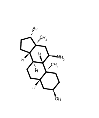 CC(=O)[C@H]1CC[C@H]2[C@@H]3CC[C@H]4C[C@H](O)CC[C@]4(C)[C@H]3[C@H](N)C[C@]12C